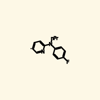 CCCN(c1ccc(F)cc1)c1cc[c]cn1